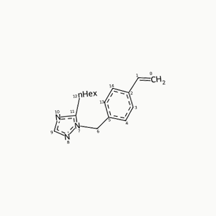 C=Cc1ccc(Cn2ncnc2CCCCCC)cc1